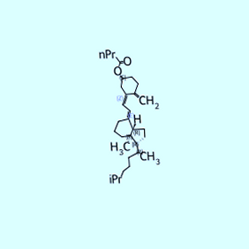 C=C1CC[C@H](OC(=O)CCC)C/C1=C/C=C1\CCC[C@]2(C)[C@@H]([C@H](C)CCCC(C)C)CC[C@@H]12